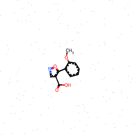 COc1ccccc1-c1oncc1C(=O)O